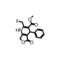 COC(=O)C1=C(CF)NC2=C(C(=O)OC2)C1c1ccccc1